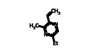 C=Cc1ncc(CC)nc1C